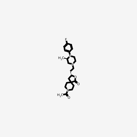 CC(=O)N1CCC2(CC1)C[C@H](CCN1CCN(c3ccc(F)cc3)[C@H](C)C1)OC2=O